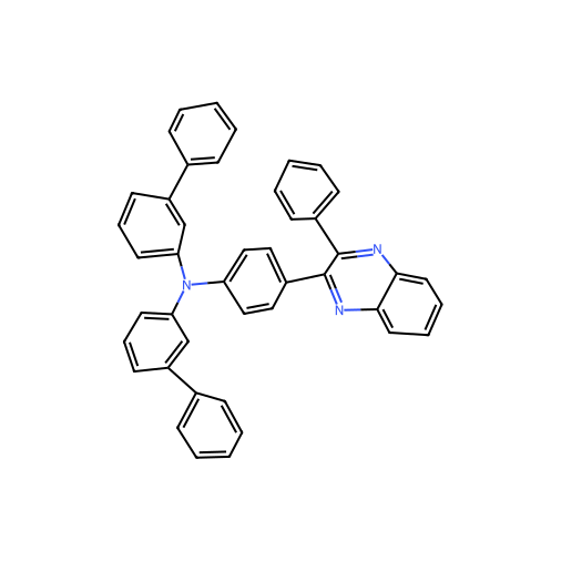 c1ccc(-c2cccc(N(c3ccc(-c4nc5ccccc5nc4-c4ccccc4)cc3)c3cccc(-c4ccccc4)c3)c2)cc1